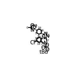 Cc1nc([C@H]2CC[C@H](c3nnc4n3-c3ccc(Cl)cc3CN(OC(=O)OC(C)(C)C)C4)CC2)no1